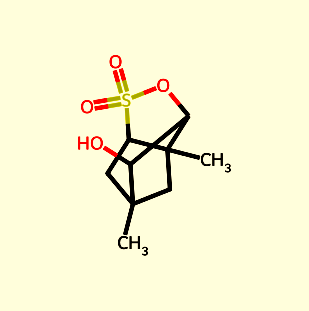 CC12CC3C(C)(C1)C(OS3(=O)=O)C2O